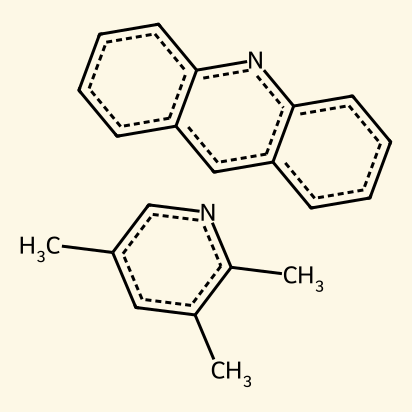 Cc1cnc(C)c(C)c1.c1ccc2nc3ccccc3cc2c1